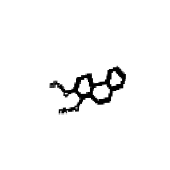 CCCOc1ccc2c(ccc3ccccc32)c1OCCC